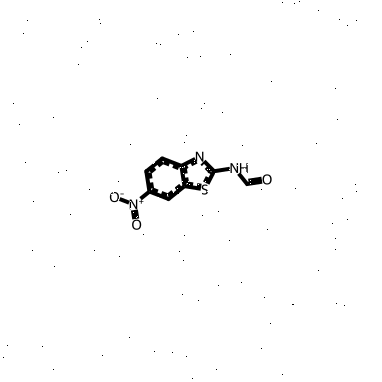 O=CNc1nc2ccc([N+](=O)[O-])cc2s1